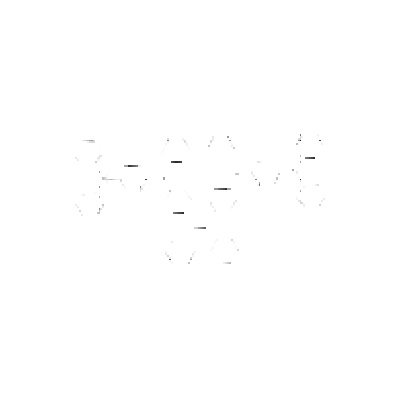 c1ccc(/C(=C(\c2ccccc2)c2ccc(N(c3ccccc3)c3ccc(N(c4ccccc4)c4ccccc4)cc3)cc2)c2ccc(N(c3ccccc3)c3ccc(N(c4ccccc4)c4ccccc4)cc3)cc2)cc1